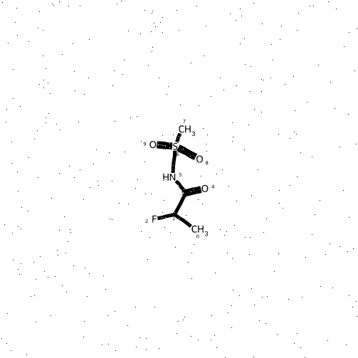 CC(F)C(=O)NS(C)(=O)=O